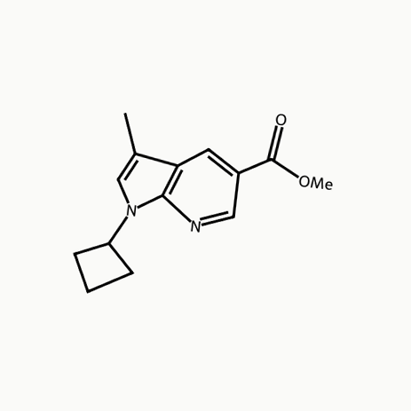 COC(=O)c1cnc2c(c1)c(C)cn2C1CCC1